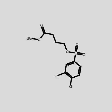 CC(C)(C)OC(=O)CCCOS(=O)(=O)c1ccc(Cl)c(Cl)c1